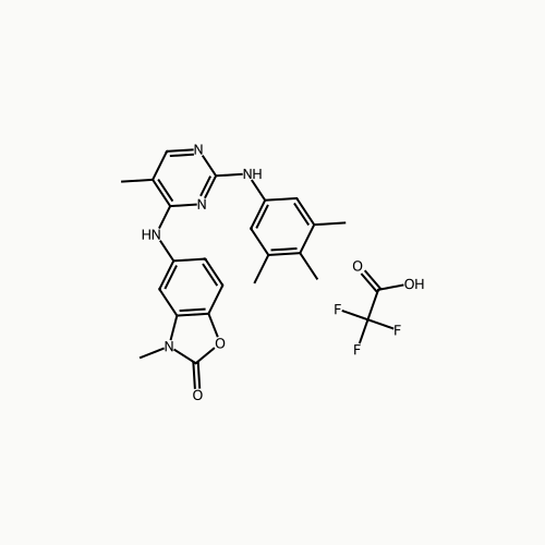 Cc1cnc(Nc2cc(C)c(C)c(C)c2)nc1Nc1ccc2oc(=O)n(C)c2c1.O=C(O)C(F)(F)F